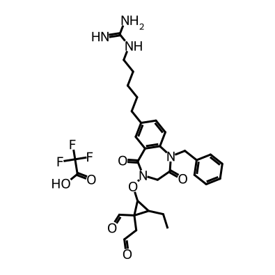 CCC1C(ON2CC(=O)N(Cc3ccccc3)c3ccc(CCCCCNC(=N)N)cc3C2=O)C1(C=O)CC=O.O=C(O)C(F)(F)F